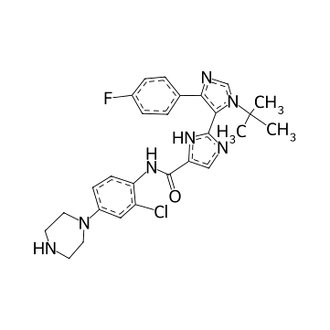 CC(C)(C)n1cnc(-c2ccc(F)cc2)c1-c1ncc(C(=O)Nc2ccc(N3CCNCC3)cc2Cl)[nH]1